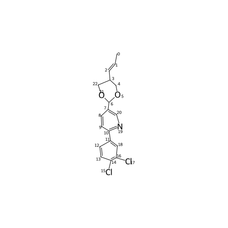 CC=CC1COC(c2ccc(-c3ccc(Cl)c(Cl)c3)nc2)OC1